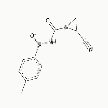 Cc1ccc([S+]([O-])NC(=O)N2CC2C#N)cc1